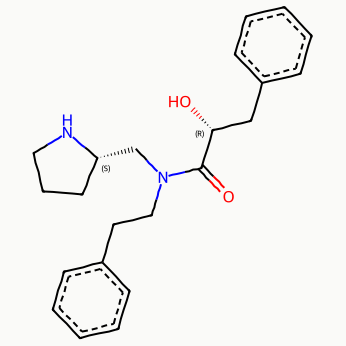 O=C([C@H](O)Cc1ccccc1)N(CCc1ccccc1)C[C@@H]1CCCN1